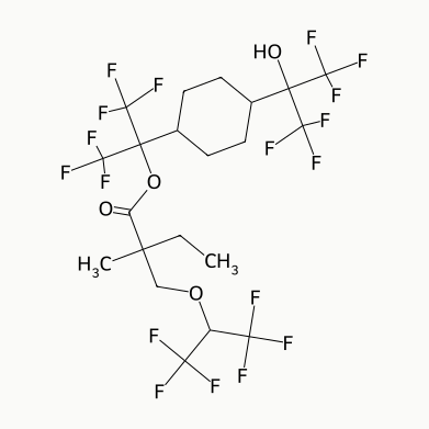 CCC(C)(COC(C(F)(F)F)C(F)(F)F)C(=O)OC(C1CCC(C(O)(C(F)(F)F)C(F)(F)F)CC1)(C(F)(F)F)C(F)(F)F